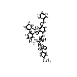 Cc1ccc(S(=O)(=O)ON=C(N)NN=Cc2ccc(OCc3ccccc3)c(OCc3ccccc3)c2OCc2ccccc2)cc1